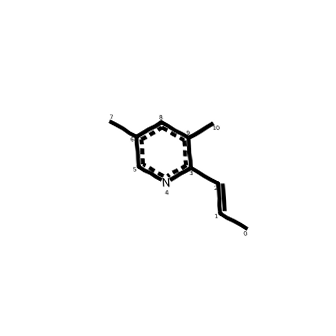 CC=Cc1ncc(C)cc1C